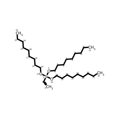 C=C[Si](OCCCCCCCCC)(OCCCCCCCCC)OCCCCCCCCC